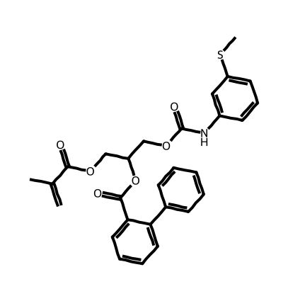 C=C(C)C(=O)OCC(COC(=O)Nc1cccc(SC)c1)OC(=O)c1ccccc1-c1ccccc1